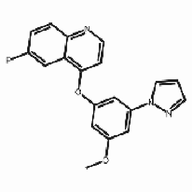 COc1cc(Oc2ccnc3ccc(F)cc23)cc(-n2cccn2)c1